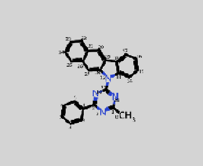 Cc1nc(-c2ccccc2)nc(-n2c3ccccc3c3cc4ccccc4cc32)n1